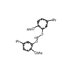 COc1ccc(C(C)C)cc1OBOc1cc(C(C)C)ccc1OC